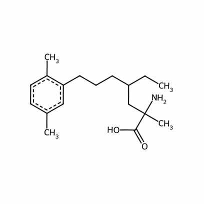 CCC(CCCc1cc(C)ccc1C)CC(C)(N)C(=O)O